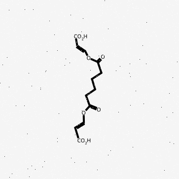 O=C(O)C=COC(=O)CCCCC(=O)OC=CC(=O)O